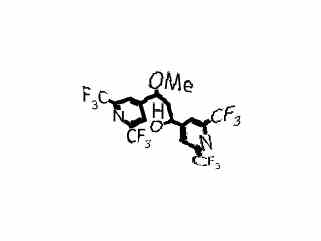 COC(CC(O)c1cc(C(F)(F)F)nc(C(F)(F)F)c1)c1cc(C(F)(F)F)nc(C(F)(F)F)c1